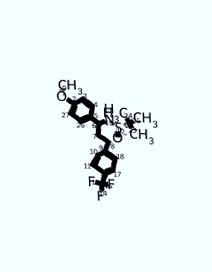 COc1ccc(C(CCc2ccc(C(F)(F)F)cc2)N[S+]([O-])C(C)(C)C)cc1